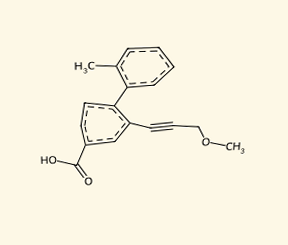 COCC#Cc1cc(C(=O)O)ccc1-c1ccccc1C